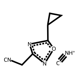 [C-]#[N+]Cc1noc(C2CC2)n1.[C-]#[NH+]